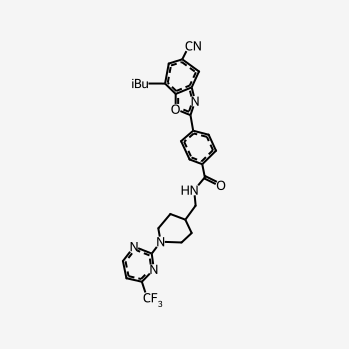 CCC(C)c1cc(C#N)cc2nc(-c3ccc(C(=O)NCC4CCN(c5nccc(C(F)(F)F)n5)CC4)cc3)oc12